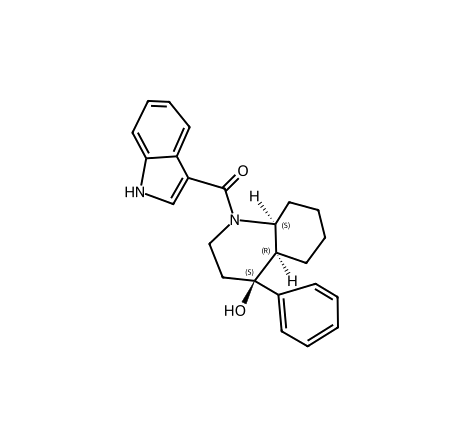 O=C(c1c[nH]c2ccccc12)N1CC[C@@](O)(c2ccccc2)[C@@H]2CCCC[C@@H]21